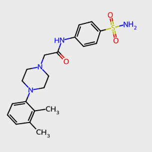 Cc1cccc(N2CCN(CC(=O)Nc3ccc(S(N)(=O)=O)cc3)CC2)c1C